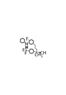 C#CC(C)(CCCc1ccc(F)c(Nc2ccccc2)c1)c1ccc(C(F)(F)F)cc1